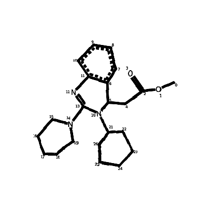 COC(=O)CC1c2ccccc2N=C(N2CCCCC2)N1C1CCCCC1